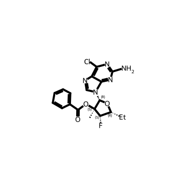 CC[C@H]1O[C@@H](n2cnc3c(Cl)nc(N)nc32)[C@](C)(OC(=O)c2ccccc2)[C@H]1F